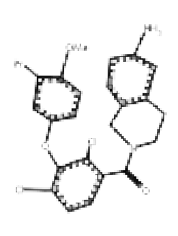 COc1ccc(Oc2c(Cl)ccc(C(=O)N3CCc4cc(N)ccc4C3)c2Cl)cc1C(C)C